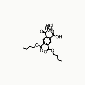 CCCCOC(=O)c1cc(C(=O)O)c(C(=O)O)cc1C(=O)OCCCC.Cl.Cl